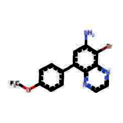 Nc1cc(-c2ccc(OC(F)(F)F)cc2)c2nccnc2c1Br